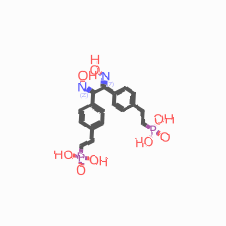 O=P(O)(O)CCc1ccc(C(=N/O)/C(=N\O)c2ccc(CCP(=O)(O)O)cc2)cc1